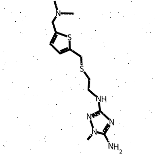 CN(C)Cc1ccc(CSCCNc2nc(N)n(C)n2)s1